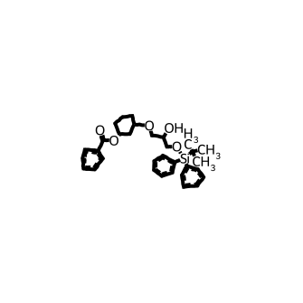 CC(C)(C)[Si](OCC(O)COC1CCCC(OC(=O)c2ccccc2)C1)(c1ccccc1)c1ccccc1